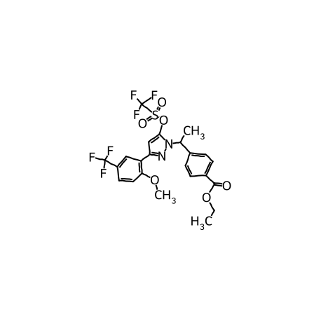 CCOC(=O)c1ccc(C(C)n2nc(-c3cc(C(F)(F)F)ccc3OC)cc2OS(=O)(=O)C(F)(F)F)cc1